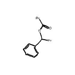 CCC(C)C(=O)OC(c1ccccc1)C(C)C